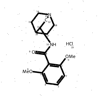 COc1cccc(OC)c1C(=O)NC1CN2CCC1CC2.Cl